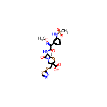 CON=C(C(=O)NC1C(=O)N2CC(CSc3nncs3)(C(=O)O)CS[C@H]12)c1cccc(NS(C)(=O)=O)c1